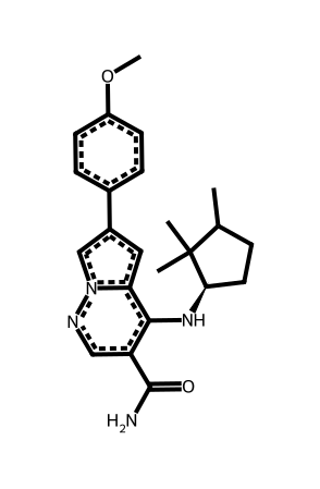 COc1ccc(-c2cc3c(N[C@@H]4CCC(C)C4(C)C)c(C(N)=O)cnn3c2)cc1